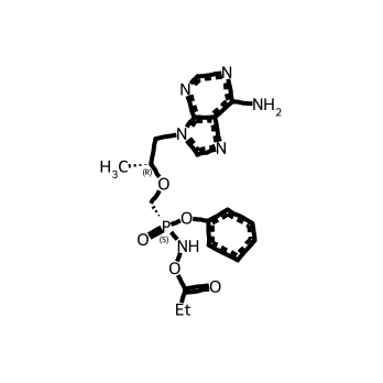 CCC(=O)ON[P@](=O)(CO[C@H](C)Cn1cnc2c(N)ncnc21)Oc1ccccc1